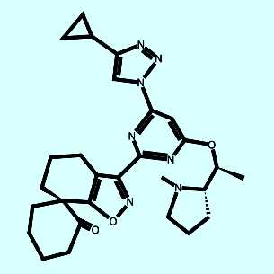 C[C@H](Oc1cc(-n2cc(C3CC3)nn2)nc(-c2noc3c2CCC[C@@]32CCCCC2=O)n1)[C@@H]1CCCN1C